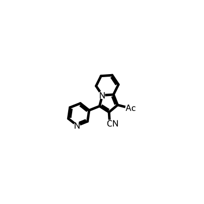 CC(=O)c1c(C#N)c(-c2cccnc2)n2c1C=CCC2